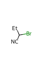 CCC(Br)C#N